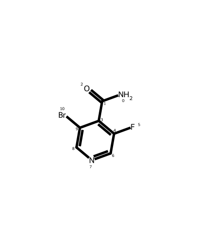 NC(=O)c1c(F)cncc1Br